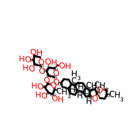 C[C@H]1CC[C@@]2(OC1)O[C@H]1C[C@H]3[C@@H]4CC=C5C[C@@H](O[C@@H]6O[C@H](CO)[C@@H](O)[C@H](O[C@@H]7OC[C@@H](O)[C@H](O)[C@H]7O)[C@H]6O[C@@H]6O[C@@H](C)[C@H](O)[C@@H](O)[C@H]6O)CC[C@]5(C)[C@H]4CC[C@]3(C)[C@H]1[C@@H]2C